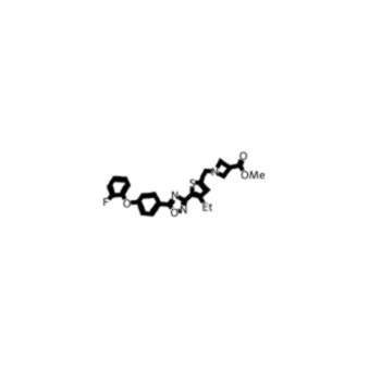 CCc1cc(CN2CC(C(=O)OC)C2)sc1-c1noc(-c2ccc(Oc3ccccc3F)cc2)n1